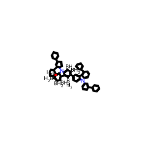 Bc1c(B)c(B)c2c(c1B)c1c(B)c(-c3ccc4c(c3)c3c(-c5ccccc5)cccc3n4-c3cccc(-c4ccccc4)c3)c(B)c(B)c1n2-c1ccc(-c2ccccc2)cc1-c1ccccc1